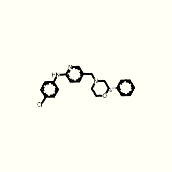 Clc1ccc(Nc2ccc(CN3CCO[C@@H](c4ccccc4)C3)cn2)cc1